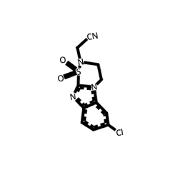 N#CCN1CCn2c(nc3ccc(Cl)cc32)S1(=O)=O